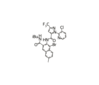 CCC(C)NC(=O)c1cc2cc(C)ccc2c(Br)c1NC(=O)c1cc(C(F)(F)F)nn1-c1ncccc1Cl